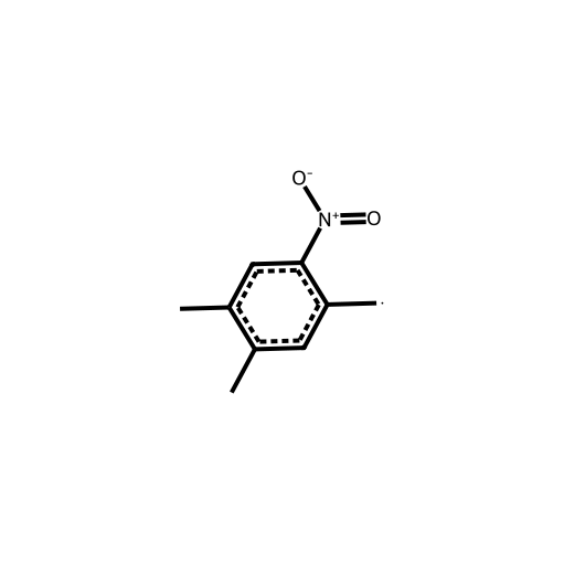 [CH2]c1cc(C)c(C)cc1[N+](=O)[O-]